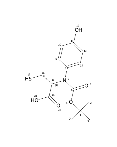 CC(C)(C)OC(=O)N(c1ccc(O)cc1)[C@@H](CS)C(=O)O